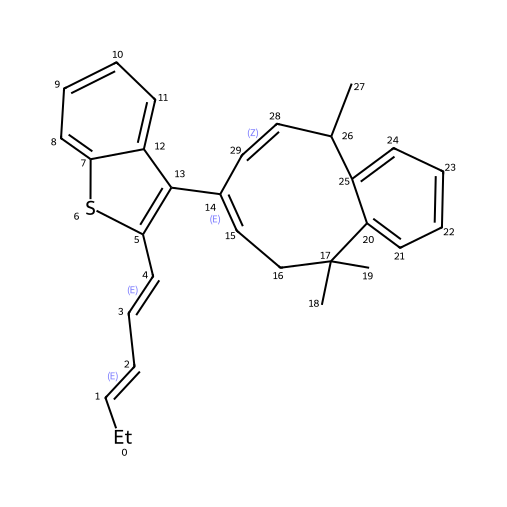 CC/C=C/C=C/c1sc2ccccc2c1C1=C/CC(C)(C)c2ccccc2C(C)/C=C\1